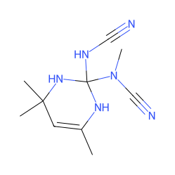 CC1=CC(C)(C)NC(NC#N)(N(C)C#N)N1